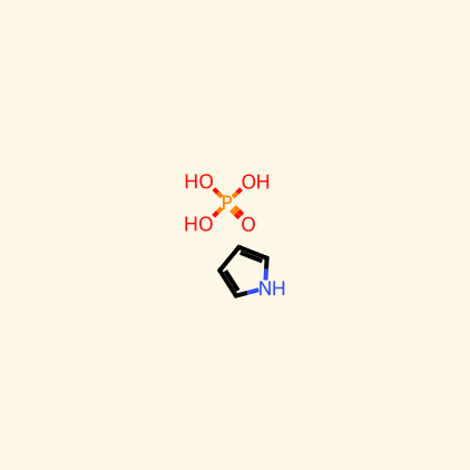 O=P(O)(O)O.c1cc[nH]c1